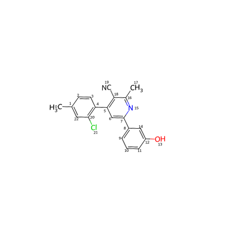 Cc1ccc(-c2cc(-c3cccc(O)c3)nc(C)c2C#N)c(Cl)c1